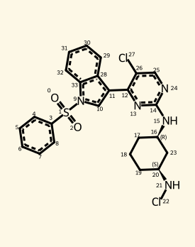 O=S(=O)(c1ccccc1)n1cc(-c2nc(N[C@@H]3CCC[C@H](NCl)C3)ncc2Cl)c2ccccc21